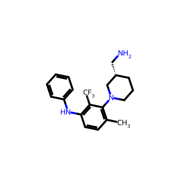 Cc1ccc(Nc2ccccc2)c(C(F)(F)F)c1N1CCC[C@@H](CN)C1